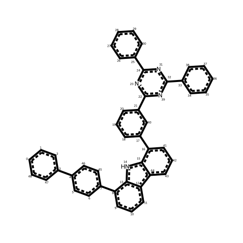 c1ccc(-c2ccc(-c3cccc4c3[nH]c3c(-c5cccc(-c6nc(-c7ccccc7)nc(-c7ccccc7)n6)c5)cccc34)cc2)cc1